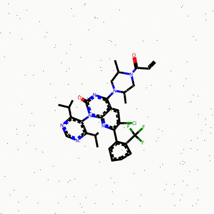 C=CC(=O)N1CC(C)N(c2nc(=O)n(-c3c(C(C)C)ncnc3C(C)C)c3nc(-c4ccccc4C(F)(F)F)c(Cl)cc23)CC1C